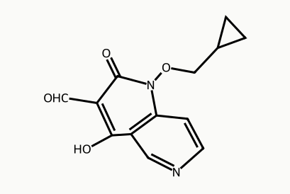 O=Cc1c(O)c2cnccc2n(OCC2CC2)c1=O